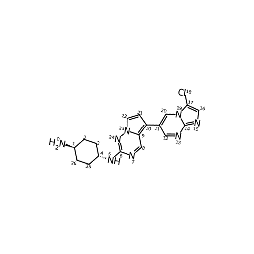 N[C@H]1CC[C@H](Nc2ncc3c(-c4cnc5ncc(Cl)n5c4)ccn3n2)CC1